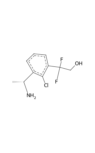 C[C@@H](N)c1cccc(C(F)(F)CO)c1Cl